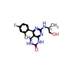 Cc1cc(F)ccc1-c1nc(N[C@@H](C)CO)nc2c1CNC(=O)N2